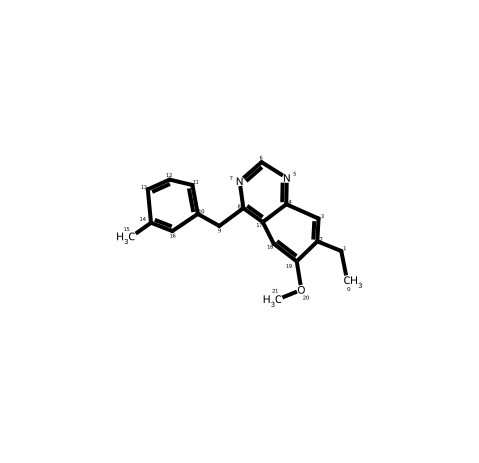 CCc1cc2ncnc(Cc3cccc(C)c3)c2cc1OC